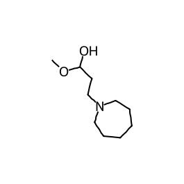 COC(O)CCN1CCCCCC1